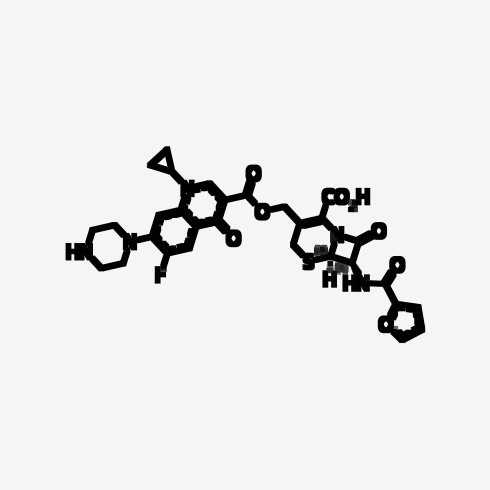 O=C(O)C1=C(COC(=O)c2cn(C3CC3)c3cc(N4CCNCC4)c(F)cc3c2=O)CS[C@@H]2[C@H](NC(=O)c3ccco3)C(=O)N12